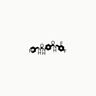 O=C(NCc1ccncc1)Nc1ccc(C(=O)NCc2ccc(F)cc2F)cc1